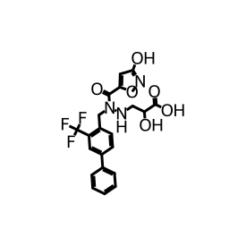 O=C(O)C(O)CNN(Cc1ccc(-c2ccccc2)cc1C(F)(F)F)C(=O)c1cc(O)no1